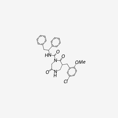 COc1ccc(Cl)cc1CC1CNC(=O)CN(C(=O)NC(Cc2ccccc2)c2ccccc2)C1=O